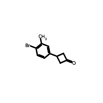 Cc1cc(C2CC(=O)C2)ccc1Br